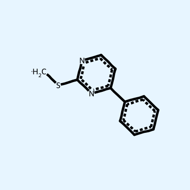 [CH2]Sc1nccc(-c2ccccc2)n1